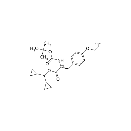 CC(C)(C)OC(=O)N[C@@H](Cc1ccc(OC[19F])cc1)C(=O)OC(C1CC1)C1CC1